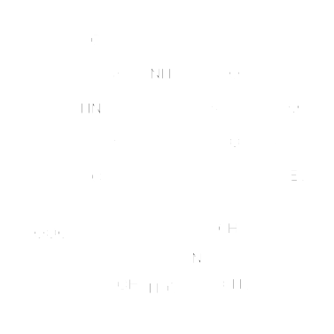 CCC(=O)OC(=O)c1cc(=O)[nH]c(=O)[nH]1.C[N+](C)(C)C[C@H](O)CC(=O)[O-]